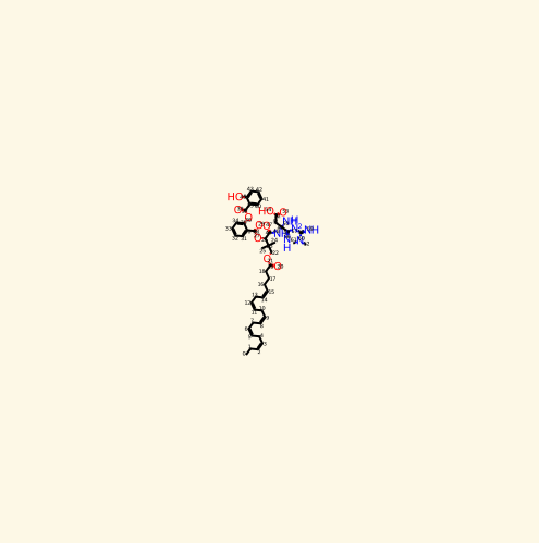 CC/C=C\C/C=C\C/C=C\C/C=C\C/C=C\CCCC(=O)OCC(C)(C)[C@@H](OC(=O)c1ccccc1OC(=O)c1ccccc1O)C(=O)NC(N)(CC(=O)O)C(=N)NC(=N)N(C)C